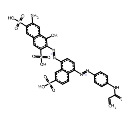 C=CC(=C)Nc1ccc(/N=N/c2ccc(/N=N/c3c(S(=O)(=O)O)cc4cc(S(=O)(=O)O)c(N)cc4c3O)c3cc(S(=O)(=O)O)ccc23)cc1